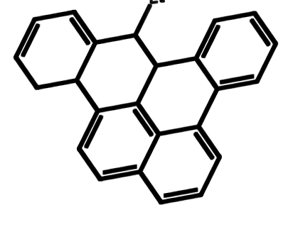 CCC1C2=CC=CCC2c2ccc3cccc4c3c2C1c1ccccc1-4